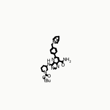 CC(C)(C)OC(=O)N1CCC[C@H](Nc2ncnc3c(C(N)=O)cc(-c4ccc(CN5CC6CC(C5)O6)cc4)nc23)C1